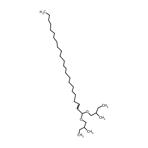 CCCCCCCCCCCCCCCCCCCCCC=CC(OCC(C)CC)OCC(C)CC